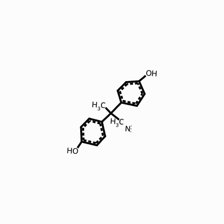 CC(C)(c1ccc(O)cc1)c1ccc(O)cc1.[N]